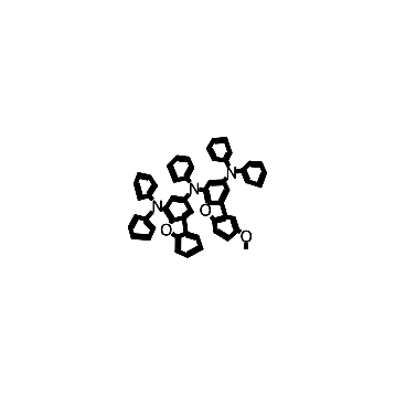 COc1ccc2oc3c(N(c4ccccc4)c4cc(N(c5ccccc5)c5ccccc5)c5oc6ccccc6c5c4)cc(N(c4ccccc4)c4ccccc4)cc3c2c1